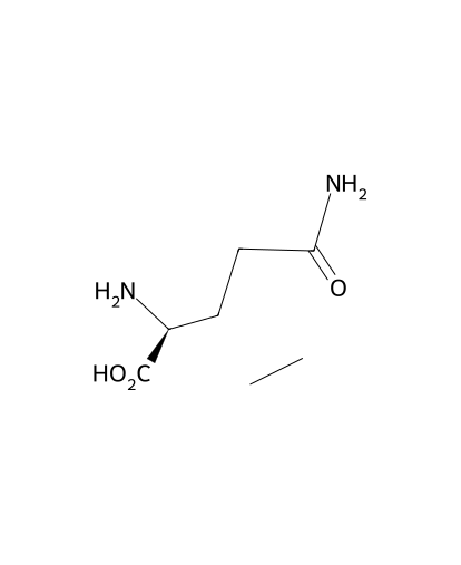 CC.NC(=O)CC[C@H](N)C(=O)O